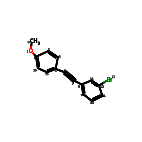 COc1ccc(C#Cc2cccc(Br)c2)cc1